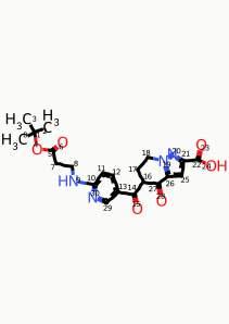 CC(C)(C)OC(=O)CCNc1ccc(C(=O)C2CCn3nc(C(=O)O)cc3C2=O)cn1